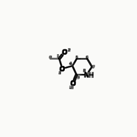 CC(=O)OC1CCCNC1=O